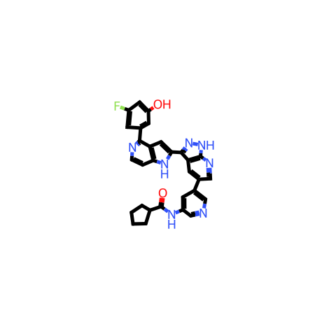 O=C(Nc1cncc(-c2cnc3[nH]nc(-c4cc5c(-c6cc(O)cc(F)c6)nccc5[nH]4)c3c2)c1)C1CCCC1